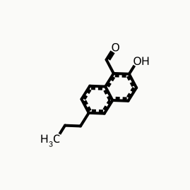 CCCc1ccc2c(C=O)c(O)ccc2c1